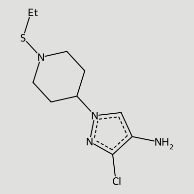 CCSN1CCC(n2cc(N)c(Cl)n2)CC1